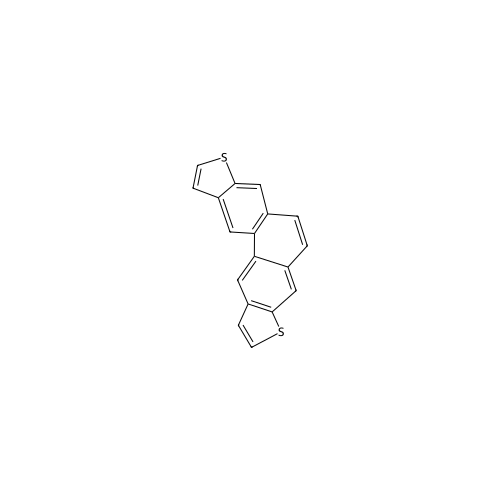 c1cc2cc3c(ccc4cc5sccc5cc43)cc2s1